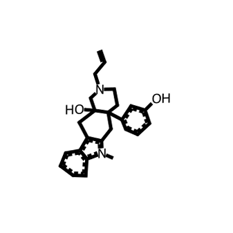 C=CCN1CCC2(c3cccc(O)c3)Cc3c(c4ccccc4n3C)CC2(O)C1